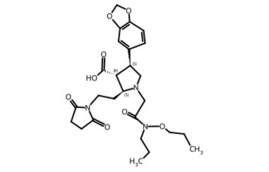 CCCON(CCC)C(=O)CN1C[C@H](c2ccc3c(c2)OCO3)[C@@H](C(=O)O)[C@@H]1CCN1C(=O)CCC1=O